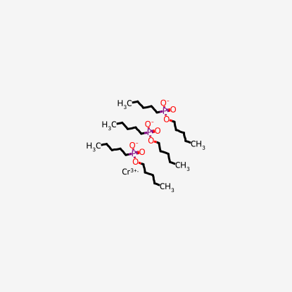 CCCCCOP(=O)([O-])CCCCC.CCCCCOP(=O)([O-])CCCCC.CCCCCOP(=O)([O-])CCCCC.[Cr+3]